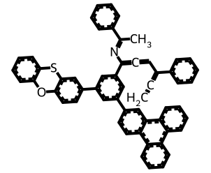 C=C=C(C=C=C(/N=C(\C)c1ccccc1)c1cc(-c2ccc3c(c2)Sc2ccccc2O3)cc(-c2ccc3c4ccccc4c4ccccc4c3c2)c1)c1ccccc1